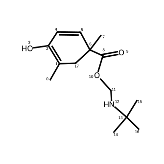 CC1=C(O)C=CC(C)(C(=O)OCNC(C)(C)C)C1